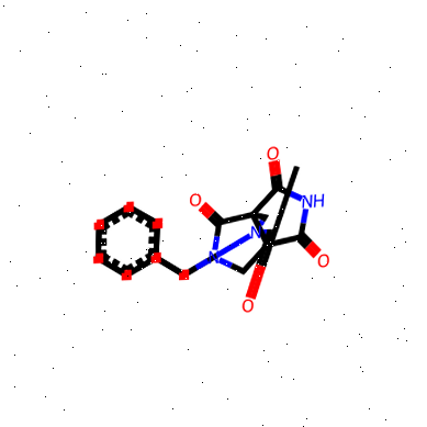 O=C1NC(=O)C23CN(Cc4ccccc4)C(=O)C12CN(Cc1ccccc1)C3=O